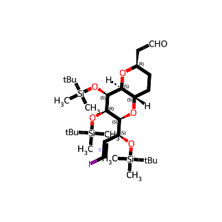 CC(C)(C)[Si](C)(C)O[C@@H]1[C@H](O[Si](C)(C)C(C)(C)C)[C@H]([C@H](/C=C/I)O[Si](C)(C)C(C)(C)C)O[C@H]2CC[C@H](CC=O)O[C@H]12